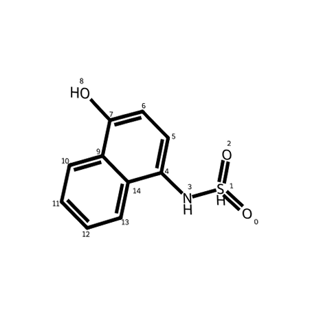 O=[SH](=O)Nc1ccc(O)c2ccccc12